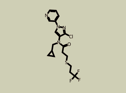 O=C(CCSCCC(F)(F)F)N(CC1CC1)c1cn(-c2cccnc2)nc1Cl